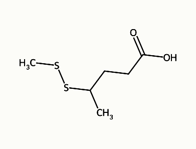 CSSC(C)CCC(=O)O